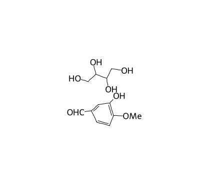 COc1ccc(C=O)cc1O.OCC(O)C(O)CO